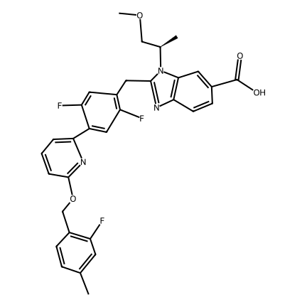 COC[C@@H](C)n1c(Cc2cc(F)c(-c3cccc(OCc4ccc(C)cc4F)n3)cc2F)nc2ccc(C(=O)O)cc21